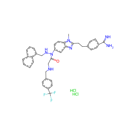 Cl.Cl.Cn1c(CCc2ccc(C(=N)N)cc2)nc2cc(N(NCc3cccc4ccccc34)C(=O)CNCc3ccc(C(F)(F)F)cc3)ccc21